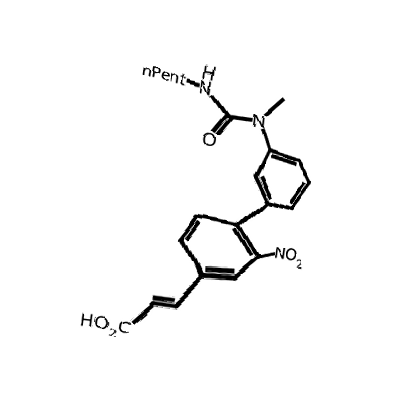 CCCCCNC(=O)N(C)c1cccc(-c2ccc(C=CC(=O)O)cc2[N+](=O)[O-])c1